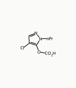 CCCn1ncc(Cl)c1OC(=O)O